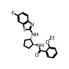 CCOc1ccccc1C(=O)N[C@H]1CCC[C@@H]1Nc1nc2ccc(F)cc2s1